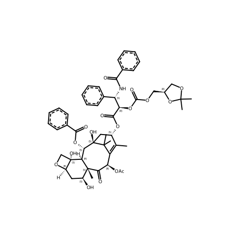 CC(=O)O[C@H]1C(=O)[C@@]2(C)[C@H]([C@H](OC(=O)c3ccccc3)[C@]3(O)C[C@H](OC(=O)[C@H](OC(=O)OC[C@H]4COC(C)(C)O4)[C@@H](NC(=O)c4ccccc4)c4ccccc4)C(C)=C1C3(C)C)[C@]1(O)CO[C@@H]1C[C@@H]2O